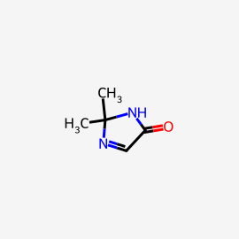 CC1(C)N=CC(=O)N1